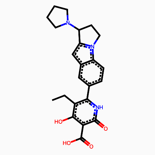 CCc1c(-c2ccc3c(c2)cc2n3CCC2N2CCCC2)[nH]c(=O)c(C(=O)O)c1O